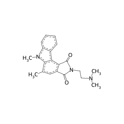 Cc1cc2c(c3c4ccccc4n(C)c13)C(=O)N(CCN(C)C)C2=O